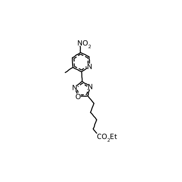 CCOC(=O)CCCCc1nc(-c2ncc([N+](=O)[O-])cc2C)no1